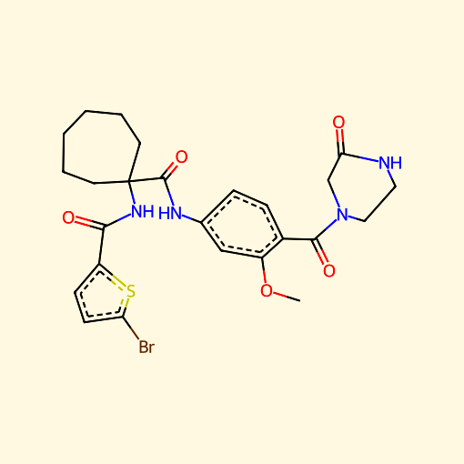 COc1cc(NC(=O)C2(NC(=O)c3ccc(Br)s3)CCCCCC2)ccc1C(=O)N1CCNC(=O)C1